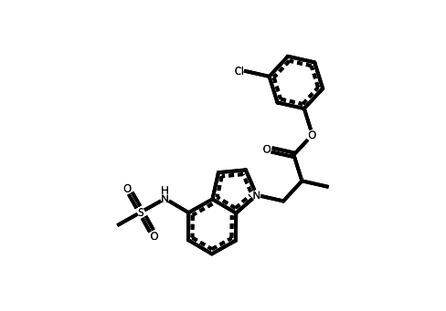 CC(Cn1ccc2c(NS(C)(=O)=O)cccc21)C(=O)Oc1cccc(Cl)c1